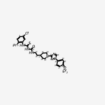 CC(C)c1ccc(Cl)cc1NC(=S)NC(=O)NCCC1CCN(c2ncn(-c3ccc(OC(F)(F)F)cc3)n2)CC1